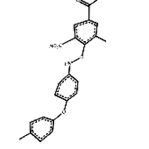 CNC(=O)c1cc(C)c(ONc2ccc(Oc3ccc(C)cc3)cc2)c(C(=O)O)c1